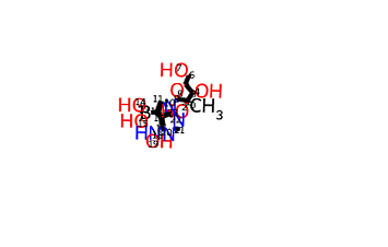 C[C@@]1(O)C(O)C(CO)OC1n1cc(B(O)O)c2c(NO)ncnc21